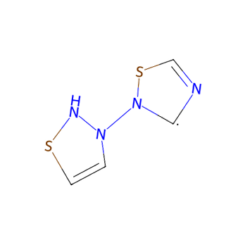 [CH]1N=CSN1N1C=CSN1